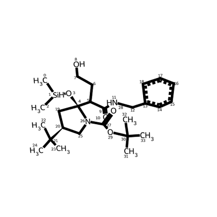 C[SiH](C)O[C@]1(C(CCO)C(=O)NCc2ccccc2)C[C@H](C(C)(C)C)CN1C(=O)OC(C)(C)C